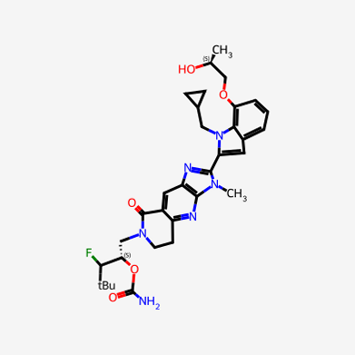 C[C@H](O)COc1cccc2cc(-c3nc4cc5c(nc4n3C)CCN(C[C@H](OC(N)=O)C(F)C(C)(C)C)C5=O)n(CC3CC3)c12